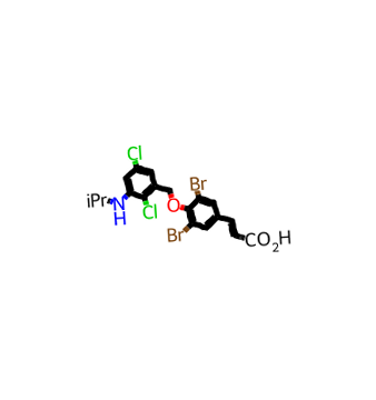 CC(C)Nc1cc(Cl)cc(COc2c(Br)cc(C=CC(=O)O)cc2Br)c1Cl